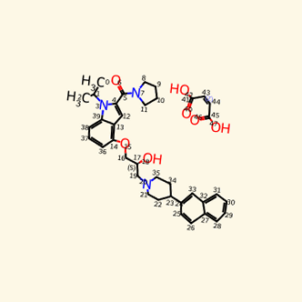 CC(C)n1c(C(=O)N2CCCC2)cc2c(OC[C@@H](O)CN3CCC(c4ccc5ccccc5c4)CC3)cccc21.O=C(O)/C=C\C(=O)O